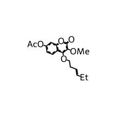 CCC=CCCOc1c(OC)c(=O)oc2cc(OC(C)=O)ccc12